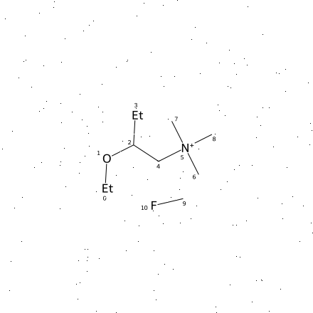 CCOC(CC)C[N+](C)(C)C.CF